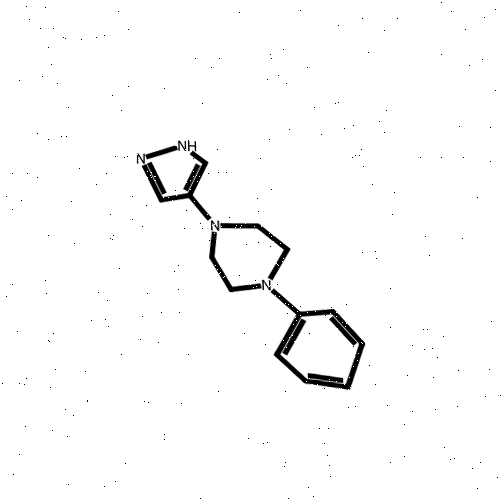 c1ccc(N2CCN(c3cn[nH]c3)CC2)cc1